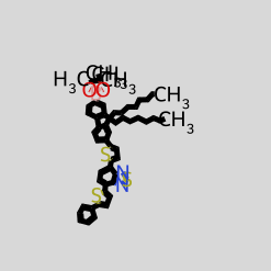 CCCCCCCCC1(CCCCCCCC)c2cc(B3OC(C)(C)C(C)(C)O3)ccc2-c2ccc(-c3ccc(-c4ccc(-c5ccc(-c6ccccc6)s5)c5nsnc45)s3)cc21